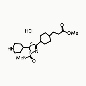 CNC(=O)N1N=C(C2CCC(CCC(=O)OC)CC2)SC1C1CCNCC1.Cl